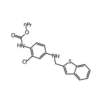 CCCOC(=O)Nc1ccc(NCc2cc3ccccc3s2)cc1Cl